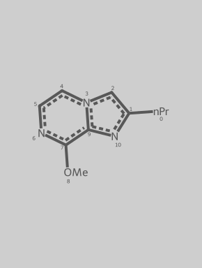 CCCc1cn2ccnc(OC)c2n1